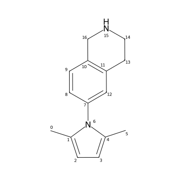 Cc1ccc(C)n1-c1ccc2c(c1)CCNC2